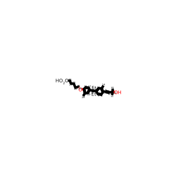 CCC(CC)(c1ccc(C#CC(C)(C)O)c(C)c1)c1ccc(OCCCCCC(=O)O)c(C)c1